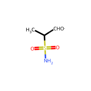 CC([C]=O)S(N)(=O)=O